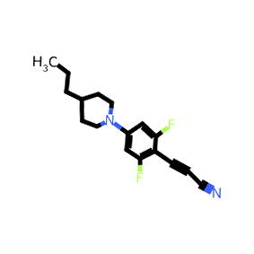 CCCC1CCN(c2cc(F)c(C#CC#N)c(F)c2)CC1